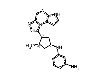 C[C@@H]1C[C@H](Nc2cccc(N)c2)C[C@@H]1c1nnc2cnc3[nH]ccc3n12